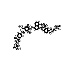 O=C(O)c1cc(O)c(N=Nc2ccc(N=Nc3ccc(S(=O)(=O)CCOS(=O)(=O)O)cc3S(=O)(=O)O)c3ccccc23)c(O)c1N=Nc1ccc(S(=O)(=O)CCOS(=O)(=O)O)cc1